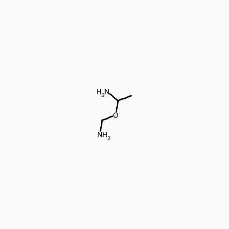 CC(N)OCN